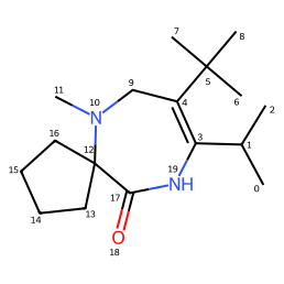 CC(C)C1=C(C(C)(C)C)CN(C)C2(CCCC2)C(=O)N1